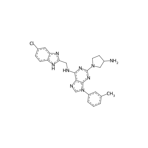 Cc1cccc(-n2cnc3c(NCc4nc5cc(Cl)ccc5[nH]4)nc(N4CCC(N)C4)nc32)c1